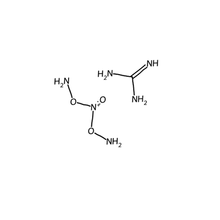 N=C(N)N.NO[N+](=O)ON